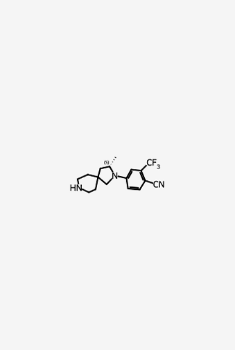 C[C@H]1CC2(CCNCC2)CN1c1ccc(C#N)c(C(F)(F)F)c1